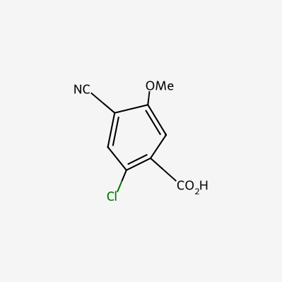 COc1cc(C(=O)O)c(Cl)cc1C#N